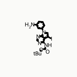 CC(C)(C)OC(=O)Nc1ncnc2c1c(I)cn2-c1cccc(N)c1